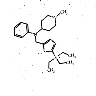 CC[Si](CC)(CC)c1ccc(CN(c2ccccc2)C2CCN(C)CC2)s1